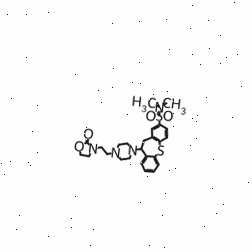 CN(C)S(=O)(=O)c1ccc2c(c1)CC(N1CCN(CCN3CCOC3=O)CC1)c1ccccc1S2